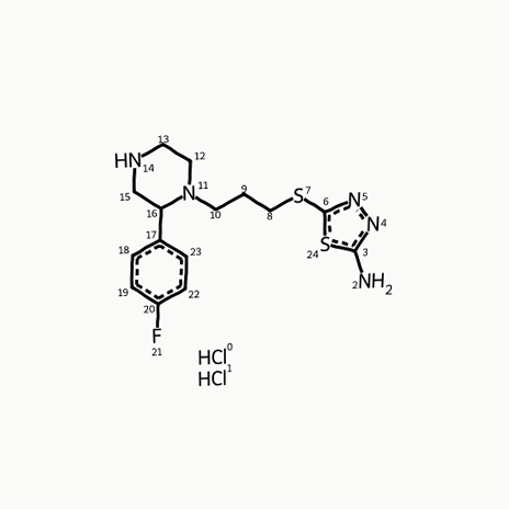 Cl.Cl.Nc1nnc(SCCCN2CCNCC2c2ccc(F)cc2)s1